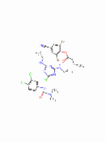 CCCC(=O)Oc1c(Br)cc(C#N)cc1Br.CCNc1nc(Cl)nc(NCC)n1.CN(C)C(=O)Nc1ccc(Cl)c(Cl)c1